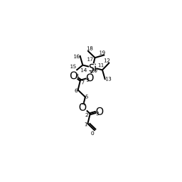 C=CC(=O)OCCC(=O)O[Si](C(C)C)(C(C)C)C(C)C